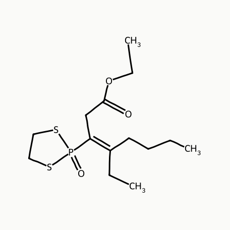 CCCC/C(CC)=C(\CC(=O)OCC)P1(=O)SCCS1